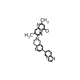 Cc1cc(=O)n2nc(N3CCc4ncc(-c5ccc6nccn6c5)cc4C3)c(C)cc2n1